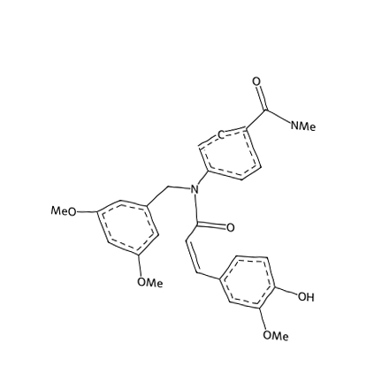 CNC(=O)c1ccc(N(Cc2cc(OC)cc(OC)c2)C(=O)C=Cc2ccc(O)c(OC)c2)cc1